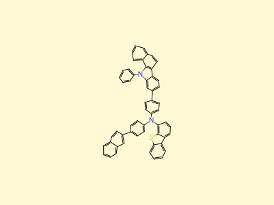 c1ccc(-n2c3cc(-c4ccc(N(c5ccc(-c6ccc7ccccc7c6)cc5)c5cccc6c5sc5ccccc56)cc4)ccc3c3ccc4ccccc4c32)cc1